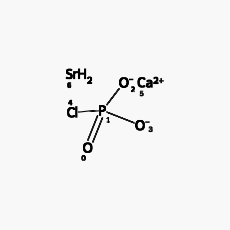 O=P([O-])([O-])Cl.[Ca+2].[SrH2]